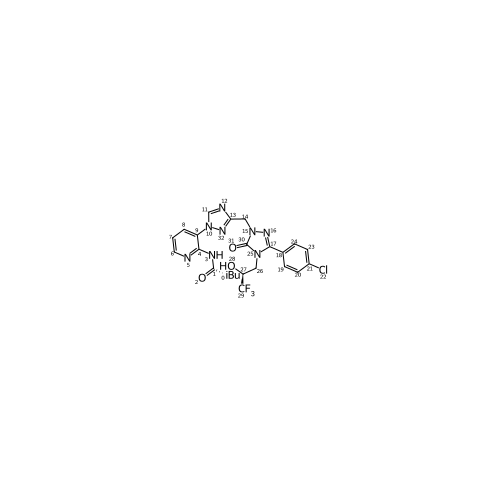 CC[C@@H](C)C(=O)Nc1ncccc1-n1cnc(Cn2nc(-c3ccc(Cl)cc3)n(C[C@H](O)C(F)(F)F)c2=O)n1